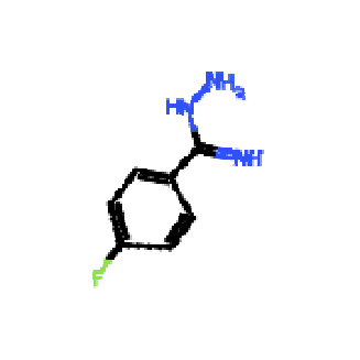 N=C(NN)c1ccc(F)cc1